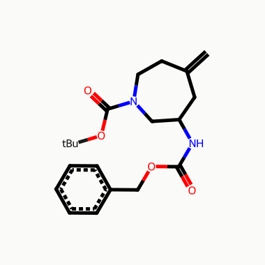 C=C1CCN(C(=O)OC(C)(C)C)CC(NC(=O)OCc2ccccc2)C1